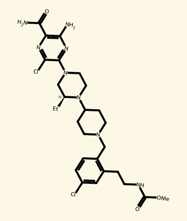 CC[C@H]1CN(c2nc(N)c(C(N)=O)nc2Cl)CCN1C1CCN(Cc2ccc(Cl)cc2CCNC(=O)OC)CC1